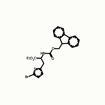 CCOC(=O)C(Cc1ccc(Br)s1)NC(=O)OCC1c2ccccc2-c2ccccc21